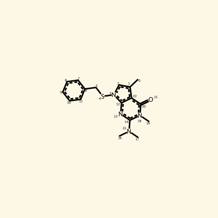 Cc1cn(SCc2ccccc2)c2nc(N(C)C)n(C)c(=O)c12